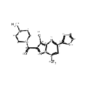 CN1CCN(C(=O)c2nn3c(C(F)(F)F)cc(-c4cccs4)nc3c2Cl)CC1